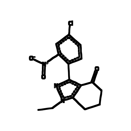 CCn1nc(-c2ccc(Cl)cc2[N+](=O)[O-])c2c1CCCC2=O